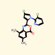 Cc1cc(C)c2nc(-c3cc(Cl)cn3-c3ncccc3Cl)oc(=O)c2c1